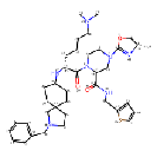 C[C@H]1COC(N2CCN(C(=O)[C@@H](CCCCN(C)C)NC3CCC4(CC3)CCN(Cc3ccccc3)C4)[C@H](C(=O)NCc3cccs3)C2)=N1